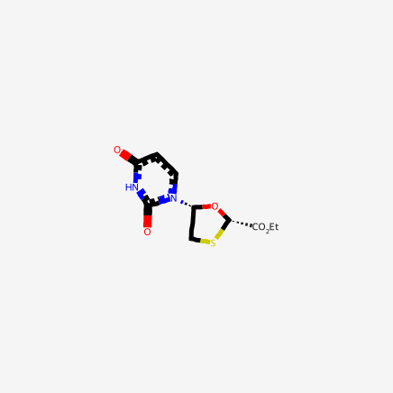 CCOC(=O)[C@H]1O[C@@H](n2ccc(=O)[nH]c2=O)CS1